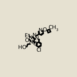 CCn1c(=O)n(CCCO)c(=O)c2c1nc(-c1ccc(OC3CCC3C)nc1)n2Cc1ccc(Cl)cc1